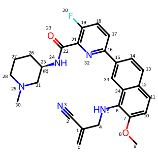 C=C(C#N)CNc1c(OC)ccc2ccc(-c3ccc(F)c(C(=O)N[C@@H]4CCCN(C)C4)n3)cc12